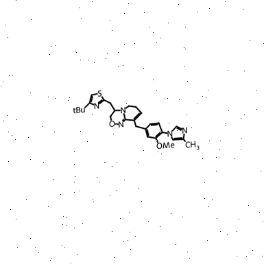 COc1cc(CC2=CCCN3C2=NOCC3Cc2nc(C(C)(C)C)cs2)ccc1-n1cnc(C)c1